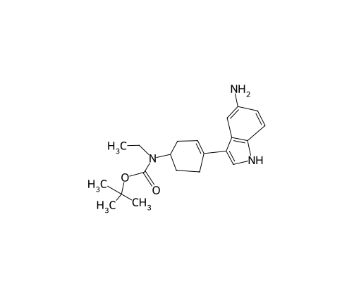 CCN(C(=O)OC(C)(C)C)C1CC=C(c2c[nH]c3ccc(N)cc23)CC1